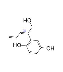 C=C/C=C(/CO)c1cc(O)ccc1O